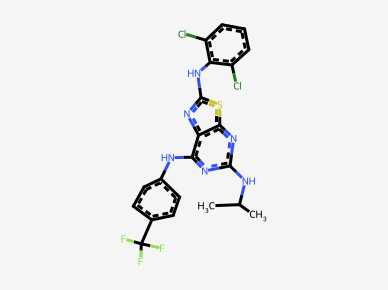 CC(C)Nc1nc(Nc2ccc(C(F)(F)F)cc2)c2nc(Nc3c(Cl)cccc3Cl)sc2n1